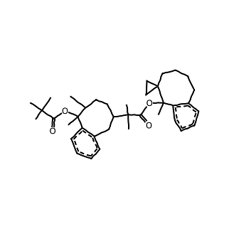 CC1CCC(C(C)(C)C(=O)OC2(C)c3ccccc3CCCCC23CC3)Cc2ccccc2C1(C)OC(=O)C(C)(C)C